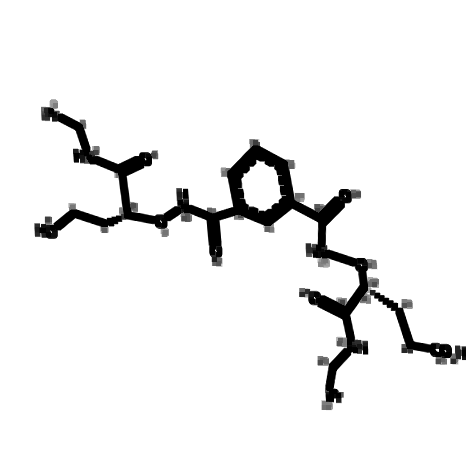 CC(C)CNC(=O)[C@@H](CCO)ONC(=O)c1cccc(C(=O)NO[C@H](CCC(=O)O)C(=O)NCC(C)C)c1